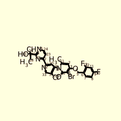 Cc1cc(OCc2ccc(F)cc2F)c(Br)c(=O)n1-c1cc(-c2ccnc(C(C)(C)O)n2)ncc1Cl